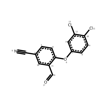 N#Cc1ccc(Oc2ccc(Cl)c(Cl)c2)c(C=O)c1